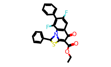 CCOC(=O)c1c2n(c3c(F)c(-c4ccccc4)c(F)cc3c1=O)C(c1ccccc1)S2